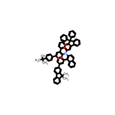 CC(C)(C)c1ccc(-c2ccc(N(c3ccc4c(c3)-c3ccccc3C4(c3ccccc3)c3ccccc3)c3ccc4ccccc4c3-c3cccc(-c4ccc5c(c4)C(C)(C)c4ccccc4-5)c3)c(-c3ccccc3)c2)cc1